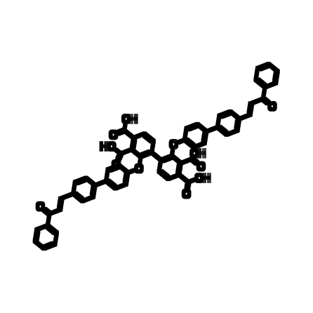 O=C(C=Cc1ccc(-c2ccc(Oc3c(-c4ccc(C(=O)O)c(C(=O)O)c4Oc4ccc(-c5ccc(C=CC(=O)c6ccccc6)cc5)cc4)ccc(C(=O)O)c3C(=O)O)cc2)cc1)c1ccccc1